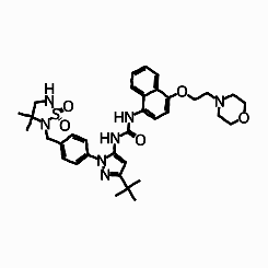 CC(C)(C)c1cc(NC(=O)Nc2ccc(OCCN3CCOCC3)c3ccccc23)n(-c2ccc(CN3C(C)(C)CNS3(=O)=O)cc2)n1